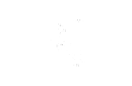 COCCc1noc([C@]23CCC(C)(C)C[C@H]2[C@H]2C(=O)C=C4[C@@]5(C)C=C(C#N)C(=O)C(C)(C)[C@@H]5CC[C@@]4(C)[C@]2(C)CC3)n1